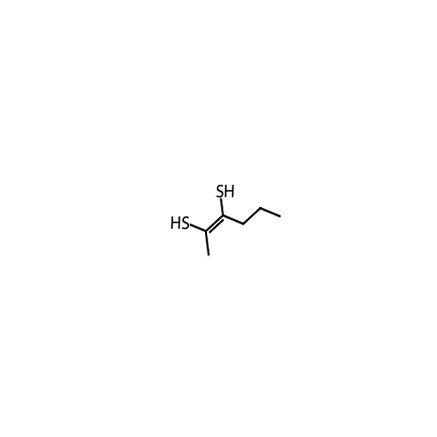 CCC/C(S)=C(\C)S